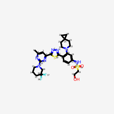 Cc1cc(-c2nnc(-c3ccc(NS(=O)(=O)CCO)cc3N3CCC4(CC3)CC4)s2)nc(N2CCCC(F)(F)C2)n1